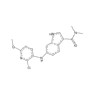 COc1ccc(Nc2ccc3c(C(=O)N(C)C)c[nH]c3c2)c(Cl)n1